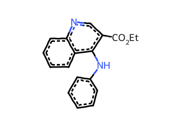 CCOC(=O)c1cnc2ccccc2c1Nc1ccccc1